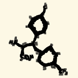 N[C@H](C(=O)O)[C@@H](c1ccc(Cl)cc1)c1ccc(C(F)(F)F)nc1